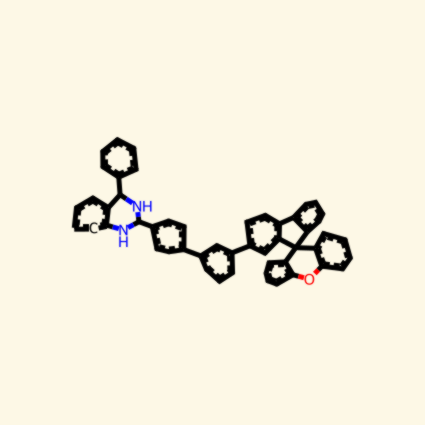 c1ccc(C2NC(c3ccc(-c4cccc(-c5ccc6c(c5)C5(c7ccccc7Oc7ccccc75)c5ccccc5-6)c4)cc3)Nc3ccccc32)cc1